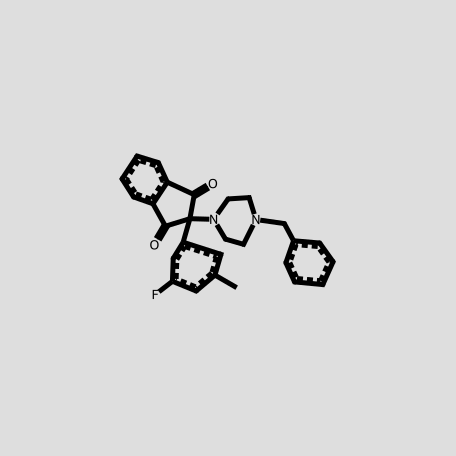 Cc1cc(F)cc(C2(N3CCN(Cc4ccccc4)CC3)C(=O)c3ccccc3C2=O)c1